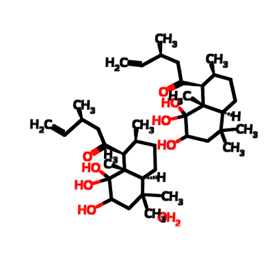 C=C[C@@H](C)CC(=O)[C@H]1[C@@H](C)CC[C@H]2C(C)(C)CC(O)C(O)(O)[C@]12C.C=C[C@@H](C)CC(=O)[C@H]1[C@@H](C)CC[C@H]2C(C)(C)CC(O)C(O)(O)[C@]12C.O